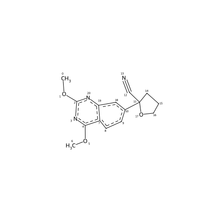 COc1nc(OC)c2ccc(C3(C#N)CCCO3)cc2n1